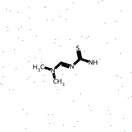 CN(C)C=NC([NH])=S